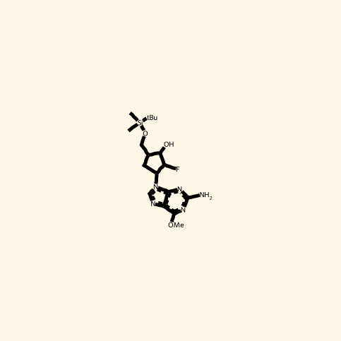 COc1nc(N)nc2c1ncn2C1CC(CO[Si](C)(C)C(C)(C)C)C(O)C1F